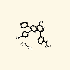 CN.COC(=O)c1cccc(-c2cnc(O)c3cc(-c4ccccc4)c(-c4ccc(Cl)cc4)nc23)c1